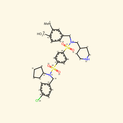 CNc1cc(CN(CC2CCNCC2)S(=O)(=O)c2ccc(S(=O)(=O)N(Cc3ccc(Cl)cc3)C3CCCC3)cc2)ccc1C(=O)O